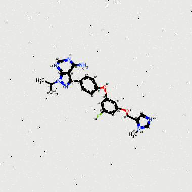 CC(C)n1nc(-c2ccc(Oc3cc(F)cc(OCc4cncn4C)c3)cc2)c2c(N)ncnc21